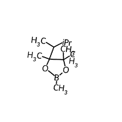 CB1OC(C)(C)C(C)(C(C)C(C)C)O1